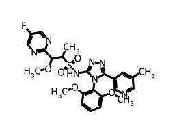 COc1cccc(OC)c1-n1c(NS(=O)(=O)C(C)C(OC)c2ncc(F)cn2)nnc1-c1cncc(C)c1